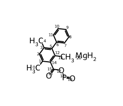 Cc1cc(C)c(-c2ccccc2)c(C)c1C(=O)OP=O.[MgH2]